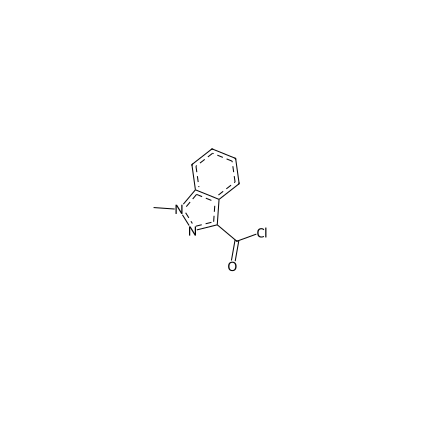 Cn1nc(C(=O)Cl)c2ccccc21